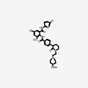 COC1CCN(CCN2CCCC(c3ccc(C(=O)Nc4c(O)cc(Cl)cc4C(=O)Nc4ccc(Cl)cn4)cc3)C2=O)CC1